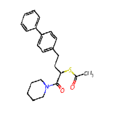 CC(=O)SC(CCc1ccc(-c2ccccc2)cc1)C(=O)N1CCCCC1